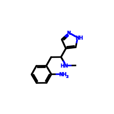 CNC(Cc1ccccc1N)c1cn[nH]c1